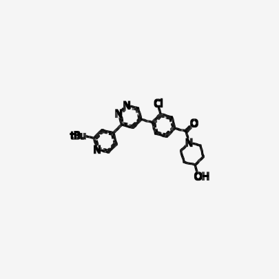 CC(C)(C)c1cc(-c2cc(-c3ccc(C(=O)N4CCC(O)CC4)cc3Cl)cnn2)ccn1